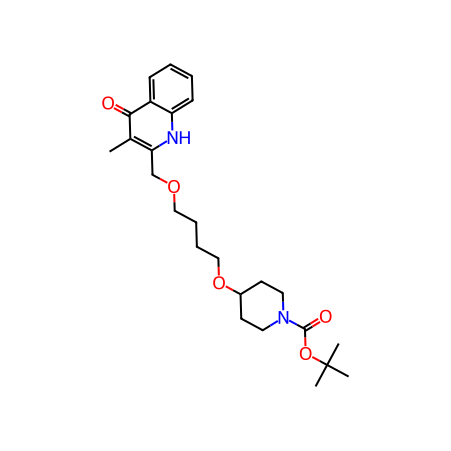 Cc1c(COCCCCOC2CCN(C(=O)OC(C)(C)C)CC2)[nH]c2ccccc2c1=O